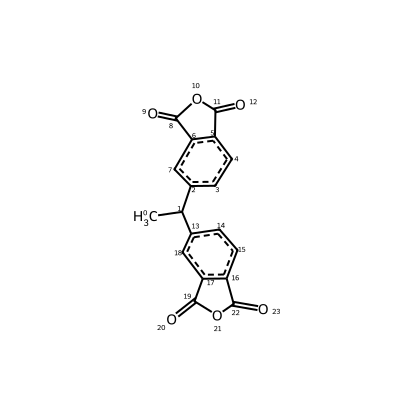 CC(c1ccc2c(c1)C(=O)OC2=O)c1ccc2c(c1)C(=O)OC2=O